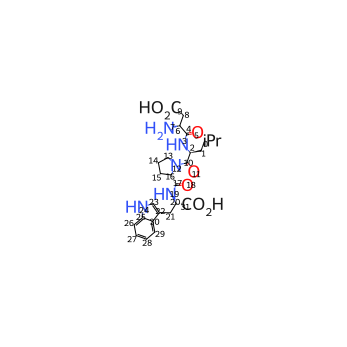 CC(C)C[C@H](NC(=O)[C@@H](N)CC(=O)O)C(=O)N1CCC[C@H]1C(=O)N[C@@H](Cc1c[nH]c2ccccc12)C(=O)O